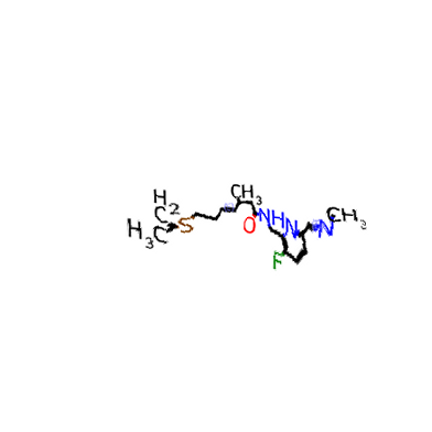 C=C(C)SCC/C=C/C(C)CC(=O)NCc1nc(/C=N/C)ccc1F